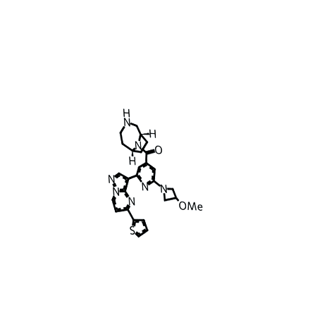 COC1CN(c2cc(C(=O)N3[C@H]4CCNC[C@@H]3CC4)cc(-c3cnn4ccc(-c5cccs5)nc34)n2)C1